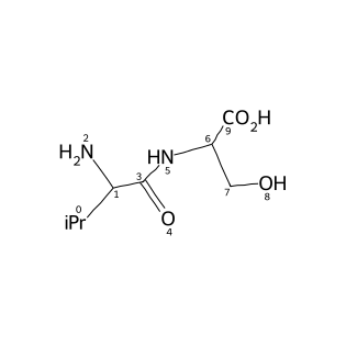 CC(C)C(N)C(=O)NC(CO)C(=O)O